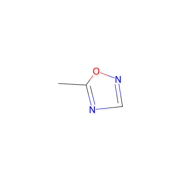 Cc1ncno1